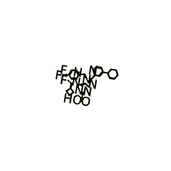 C[C@@H](Nc1nc(C(=O)O)nc2nc(-c3cc(C4CCCCC4)ccn3)n(Cc3ccc(C(F)(F)F)cc3)c12)C1CCC1